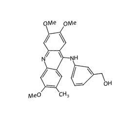 COc1cc2nc3cc(OC)c(OC)cc3c(Nc3cccc(CO)c3)c2cc1C